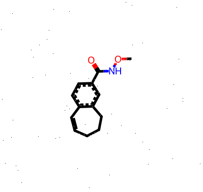 CONC(=O)c1ccc2c(c1)CCCC=C2